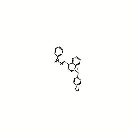 CN(N=Cc1cc[n+](Cc2ccc(Cl)cc2)c2ccccc12)c1ccccc1